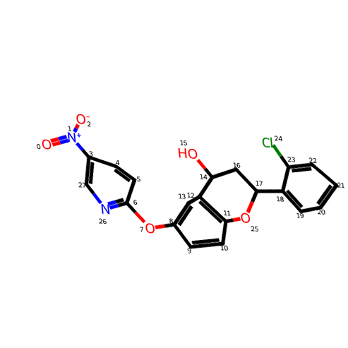 O=[N+]([O-])c1ccc(Oc2ccc3c(c2)C(O)CC(c2ccccc2Cl)O3)nc1